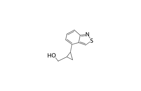 OCC1CC1c1cccc2nscc12